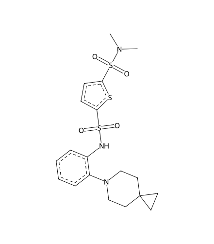 CN(C)S(=O)(=O)c1ccc(S(=O)(=O)Nc2ccccc2N2CCC3(CC2)CC3)s1